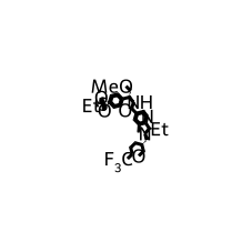 CC[C@H]1c2ncc(C(=O)N[C@@H](COC)c3ccc(S(=O)(=O)CC)cc3)cc2CN1C[C@H]1CCC(C(F)(F)F)OC1